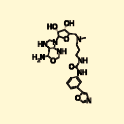 CN(CCCNC(=O)Nc1cccc(-c2cnco2)c1)CC1OC(N2CNC3C(N)OCNC32)[C@H](O)[C@@H]1O